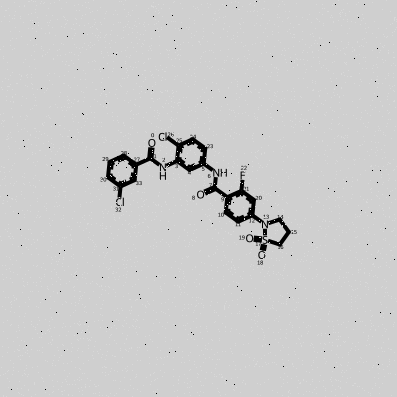 O=C(Nc1cc(NC(=O)c2ccc(N3CCCS3(=O)=O)cc2F)ccc1Cl)c1cccc(Cl)c1